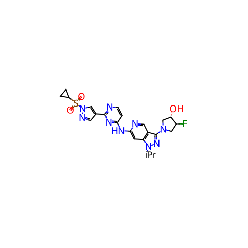 CC(C)n1nc(N2C[C@H](O)[C@@H](F)C2)c2cnc(Nc3ccnc(-c4cnn(S(=O)(=O)C5CC5)c4)n3)cc21